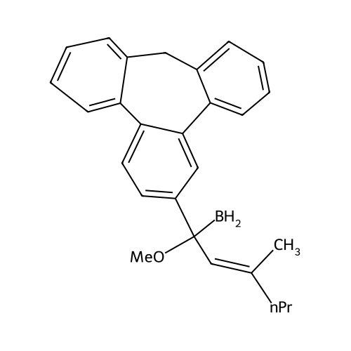 BC(C=C(C)CCC)(OC)c1ccc2c(c1)-c1ccccc1Cc1ccccc1-2